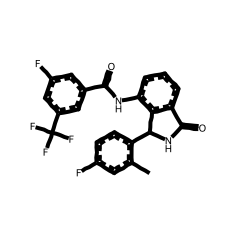 Cc1cc(F)ccc1C1NC(=O)c2cccc(NC(=O)c3cc(F)cc(C(F)(F)F)c3)c21